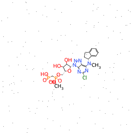 COP(=O)(CP(=O)(O)O)OC[C@H]1O[C@@H](n2nnc3c(N(C)[C@@H]4CCc5ccccc54)nc(Cl)nc32)[C@H](O)[C@@H]1O